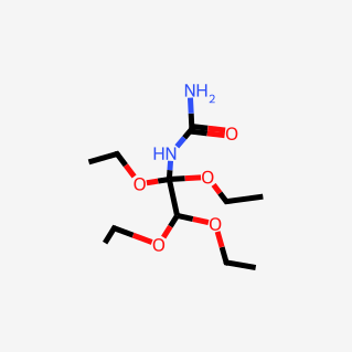 CCOC(OCC)C(NC(N)=O)(OCC)OCC